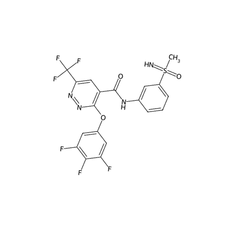 CS(=N)(=O)c1cccc(NC(=O)c2cc(C(F)(F)F)nnc2Oc2cc(F)c(F)c(F)c2)c1